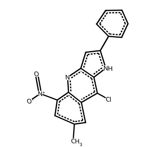 Cc1cc([N+](=O)[O-])c2nc3cc(-c4ccccc4)[nH]c3c(Cl)c2c1